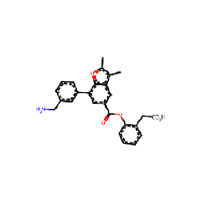 Cc1oc2c(-c3cccc(CN)c3)cc(C(=O)Oc3ccccc3CC(=O)O)cc2c1C